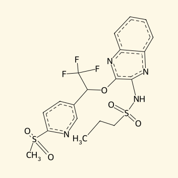 CCCS(=O)(=O)Nc1nc2ccccc2nc1OC(c1ccc(S(C)(=O)=O)nc1)C(F)(F)F